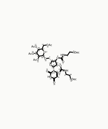 CCCCCCCCCCCCNC(=O)OC1[C@@H](CO[C@@H]2OC(COC(C)=O)[C@@H](OC(C)=O)[C@H](OC(C)=O)C2OC(C)=O)O[C@@H](n2ccc(=O)[nH]c2=O)[C@H]1OC(=O)NCCCCCCCCCCCC